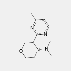 Cc1ccnc(C2COCCN2N(C)C)n1